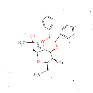 CC[C@H]1O[C@@H](CC(C)(C)O)[C@H](OCc2ccccc2)[C@@H](OCc2ccccc2)[C@H]1C